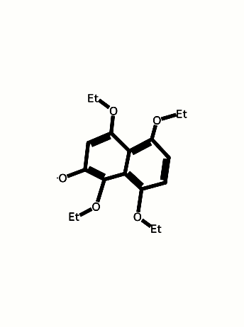 CCOc1ccc(OCC)c2c(OCC)c([O])cc(OCC)c12